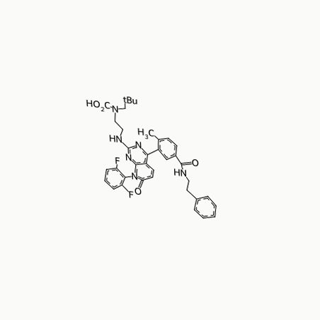 Cc1ccc(C(=O)NCCc2ccccc2)cc1-c1nc(NCCN(CC(C)(C)C)C(=O)O)nc2c1ccc(=O)n2-c1c(F)cccc1F